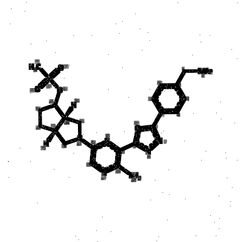 CNCc1ccc(-c2nnc(-c3nc(N4C[C@@H]5CCC(OS(C)(=O)=O)[C@@H]5C4)cnc3N)o2)cc1